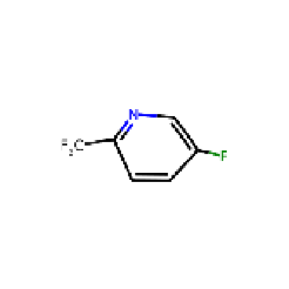 Fc1ccc(C(F)(F)F)nc1